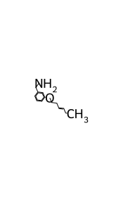 CCC=CCCOc1cccc(CN)c1